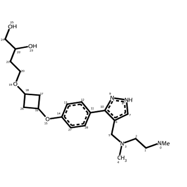 CNCCN(C)Cc1c[nH]nc1-c1ccc(OC2CC(OCCC(O)CO)C2)cc1